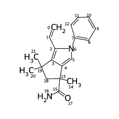 C=Cc1c2c(cn1-c1ccccc1)C(C)(C(N)=O)CC2(C)C